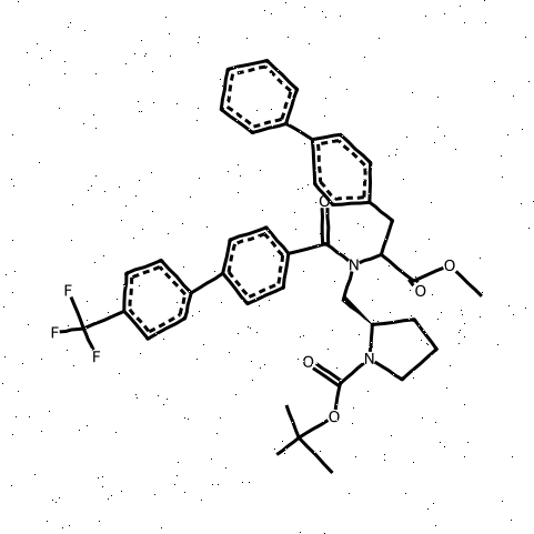 COC(=O)C(Cc1ccc(-c2ccccc2)cc1)N(C[C@H]1CCCN1C(=O)OC(C)(C)C)C(=O)c1ccc(-c2ccc(C(F)(F)F)cc2)cc1